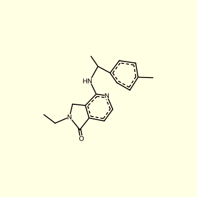 CCN1Cc2c(ccnc2NC(C)c2ccc(C)cc2)C1=O